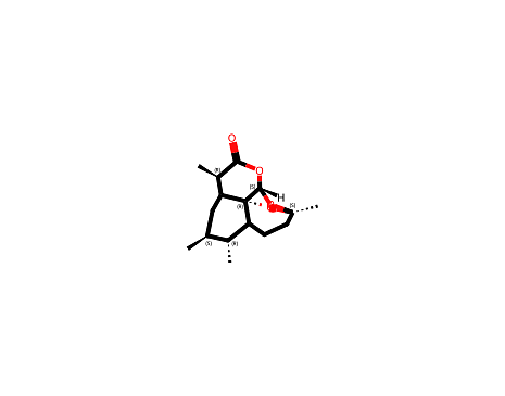 C[C@H]1C(=O)O[C@@H]2O[C@]3(C)CCC4[C@H](C)[C@@H](C)CC1[C@]42OO3